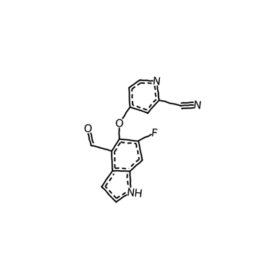 N#Cc1cc(Oc2c(F)cc3[nH]ccc3c2C=O)ccn1